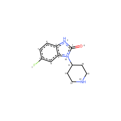 O=c1[nH]c2ccc(F)cc2n1C1CCNCC1